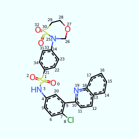 O=S(=O)(Nc1ccc(Cl)c(-c2ccc3ccccc3n2)c1)c1ccc(N2COCCS2(=O)=O)cc1